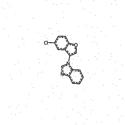 Clc1ccc2occ(-n3cnc4ccccc43)c2c1